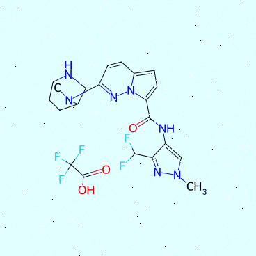 Cn1cc(NC(=O)c2ccc3ccc(N4CC5CCC4CN5)nn23)c(C(F)F)n1.O=C(O)C(F)(F)F